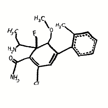 COC1C(c2ccccc2C)=CC(Cl)=C(C(N)=O)C1(F)C(C)N